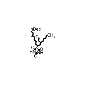 C=CCCCC(CC=C)CC(CCCCCCCCCCCCCCCCC)n1c(=O)[nH]c(=O)[nH]c1=O